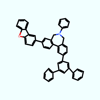 c1ccc(-c2cc(-c3ccccc3)cc(-c3ccc4c(c3)-c3ccc(-c5ccc6oc7ccccc7c6c5)cc3CN(c3ccccc3)C4)c2)cc1